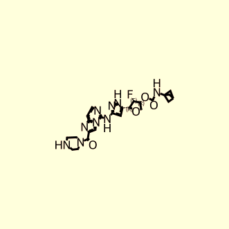 O=C(NC12CC(C1)C2)O[C@@H]1CO[C@H](c2cc(Nc3nccc4nc(C(=O)N5CCNCC5)cn34)n[nH]2)[C@@H]1F